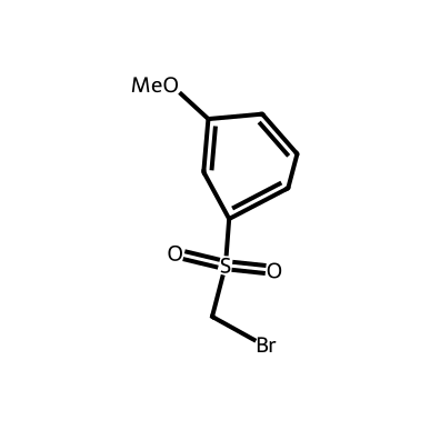 COc1cccc(S(=O)(=O)CBr)c1